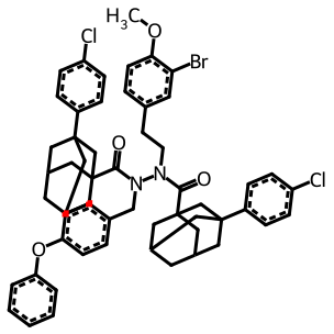 COc1ccc(CCN(C(=O)C23CC4CC(C2)CC(c2ccc(Cl)cc2)(C4)C3)N(Cc2ccc(Oc3ccccc3)cc2)C(=O)C23CC4CC(C2)CC(c2ccc(Cl)cc2)(C4)C3)cc1Br